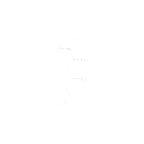 O=C(Cl)C(Br)CC(Br)COCl